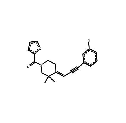 CC1(C)CN(C(=O)c2ccco2)CC/C1=C\C#Cc1cccc(Cl)c1